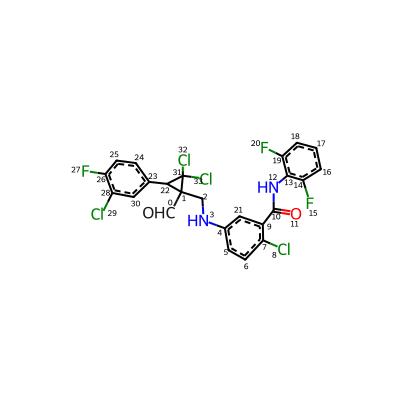 O=CC1(CNc2ccc(Cl)c(C(=O)Nc3c(F)cccc3F)c2)C(c2ccc(F)c(Cl)c2)C1(Cl)Cl